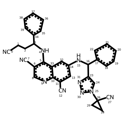 N#CCCC(Nc1c(C#N)cnc2c(C#N)cc(NC(c3ccccc3)c3cn(C4(C#N)CC4)nn3)cc12)c1ccccc1